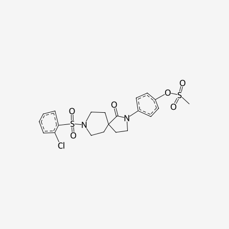 CS(=O)(=O)Oc1ccc(N2CCC3(CCN(S(=O)(=O)c4ccccc4Cl)CC3)C2=O)cc1